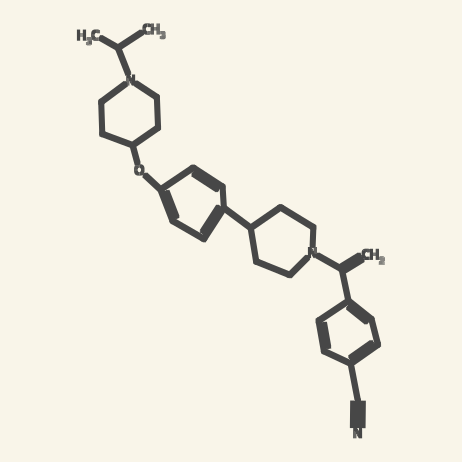 C=C(c1ccc(C#N)cc1)N1CCC(c2ccc(OC3CCN(C(C)C)CC3)cc2)CC1